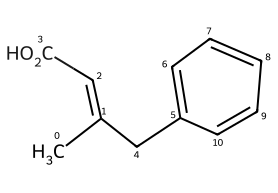 CC(=CC(=O)O)Cc1ccccc1